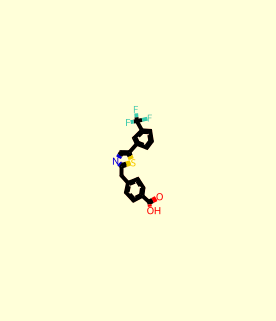 O=C(O)c1ccc(Cc2ncc(-c3cccc(C(F)(F)F)c3)s2)cc1